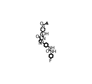 O=C(Nc1ccc(F)cc1)Nc1ccc(-n2ncc3c(=O)n(CC4(O)CCN(C(=O)C5CC5)CC4)cnc32)cc1